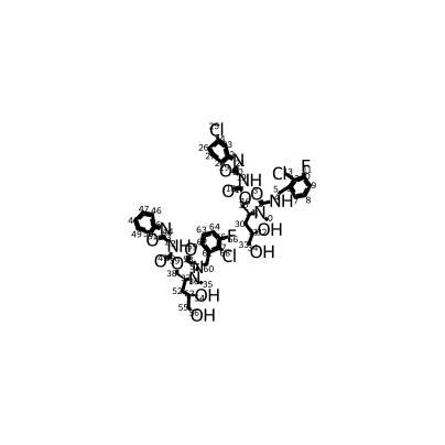 CN(C(=O)NCc1cccc(F)c1Cl)[C@H](COC(=O)Nc1nc2cc(Cl)ccc2o1)C[C@@H](O)CO.CN([C@H](COC(=O)Nc1nc2ccccc2o1)C[C@@H](O)CO)N(C=O)Cc1cccc(F)c1Cl